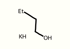 [CH2]CCCO.[KH]